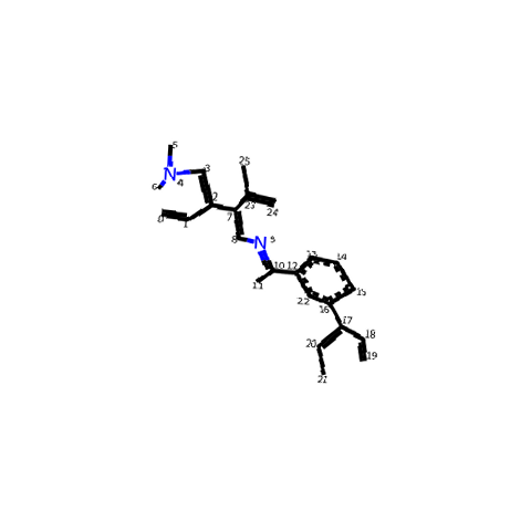 C=CC(=C\N(C)C)/C(=C/N=C(\C)c1cccc(/C(C=C)=C/C)c1)C(=C)C